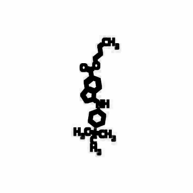 CCCCOC(=O)c1ccc2c(c1)CCC2N[C@H]1CC[C@@H](C(C)(C)C)CC1